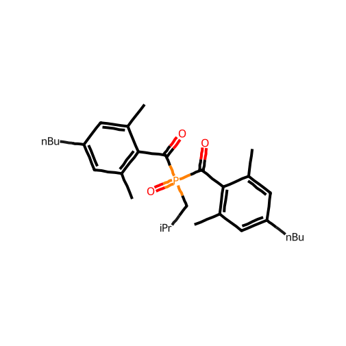 CCCCc1cc(C)c(C(=O)P(=O)(CC(C)C)C(=O)c2c(C)cc(CCCC)cc2C)c(C)c1